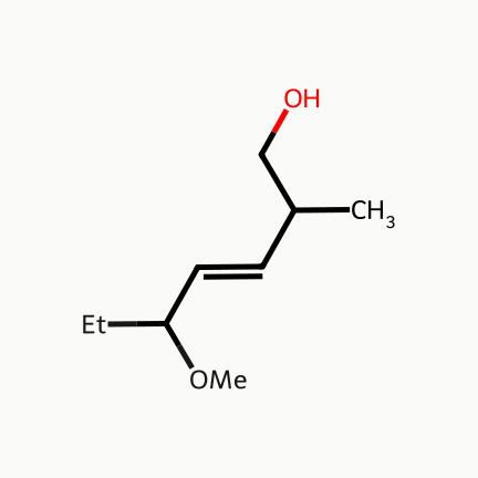 CCC(C=CC(C)CO)OC